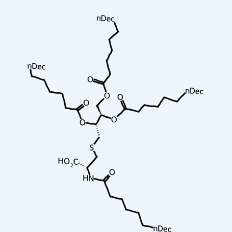 CCCCCCCCCCCCCCCC(=O)N[C@@H](CSC[C@H](OC(=O)CCCCCCCCCCCCCCC)[C@@H](COC(=O)CCCCCCCCCCCCCCC)OC(=O)CCCCCCCCCCCCCCC)C(=O)O